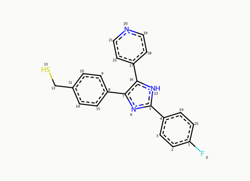 Fc1ccc(-c2nc(-c3ccc(CS)cc3)c(-c3ccncc3)[nH]2)cc1